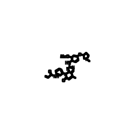 C=CC(=O)Nc1cccc(-n2c(=O)cc(C)c3cnc(Nc4ccc(OC5CCN(C)C5)cc4OC)nc32)c1